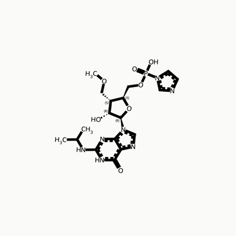 COC[C@H]1[C@@H](O)[C@H](n2cnc3c(=O)[nH]c(NC(C)C)nc32)O[C@@H]1COP(=O)(O)n1ccnc1